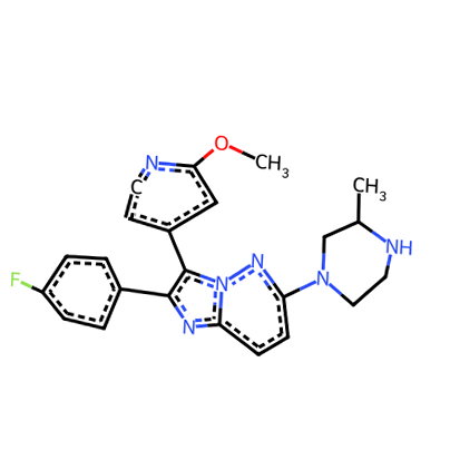 COc1cc(-c2c(-c3ccc(F)cc3)nc3ccc(N4CCNC(C)C4)nn23)ccn1